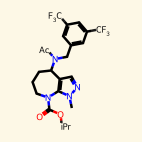 CC(=O)N(Cc1cc(C(F)(F)F)cc(C(F)(F)F)c1)C1CCCN(C(=O)OC(C)C)c2c1cnn2C